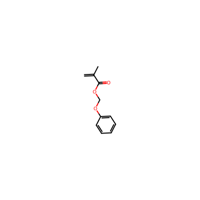 C=C(C)C(=O)OCOc1ccccc1